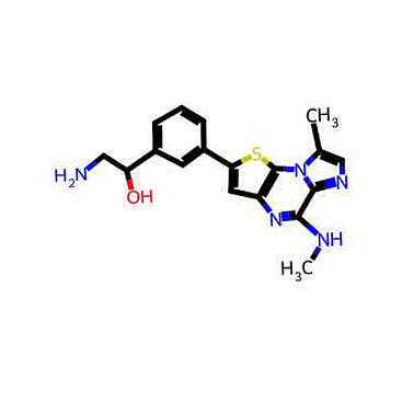 CNc1nc2cc(-c3cccc(C(O)CN)c3)sc2n2c(C)cnc12